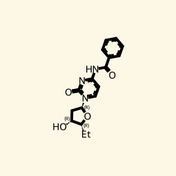 CC[C@H]1O[C@@H](n2ccc(NC(=O)c3ccccc3)nc2=O)C[C@H]1O